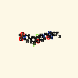 CS(=O)(=O)N1CCC(c2cc(F)c(OC3CCN(Cc4nc(C(F)(F)F)no4)CC3)c(F)c2)CC1